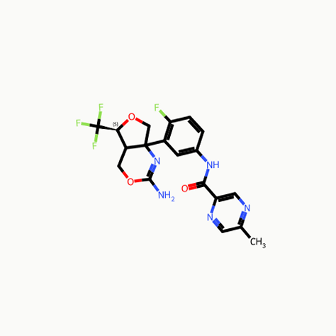 Cc1cnc(C(=O)Nc2ccc(F)c(C34CO[C@H](C(F)(F)F)C3COC(N)=N4)c2)cn1